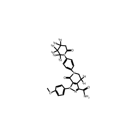 [2H]C1([2H])CN(c2ccc(N3C(=O)CC([2H])([2H])C([2H])([2H])C3([2H])[2H])cc2)C(=O)c2c1c(C(N)=O)nn2-c1ccc(OC)cc1